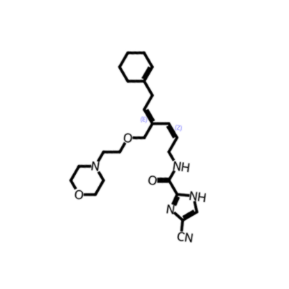 N#Cc1c[nH]c(C(=O)NC/C=C\C(=C/CC2=CCCCC2)COCCN2CCOCC2)n1